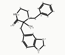 CC1(Cc2ccc3c(c2)OCO3)C(=O)NCCN1Cc1ccccc1